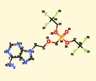 Nc1ncnc2c1ncn2CCOCP(=O)(OCC(F)(F)F)OCC(F)(F)F